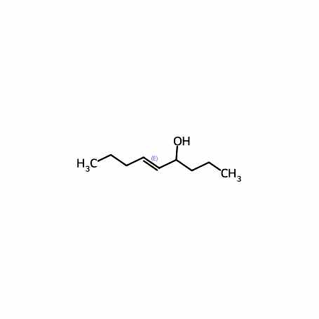 CCC/C=C/C(O)CCC